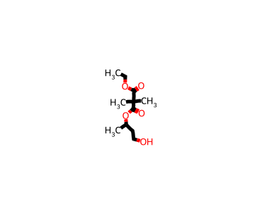 CCOC(=O)C(C)(C)C(=O)OC(C)CCO